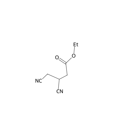 CCOC(=O)CC(C#N)CC#N